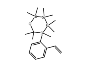 C=Cc1ccccc1[Si]1(C)C(C)(C)O[Si](C)(C)[Si](C)(C)[Si]1(C)C